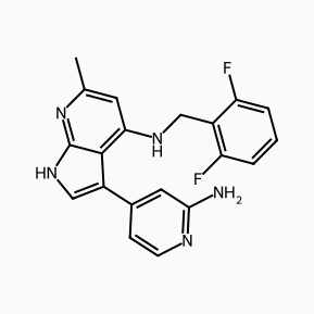 Cc1cc(NCc2c(F)cccc2F)c2c(-c3ccnc(N)c3)c[nH]c2n1